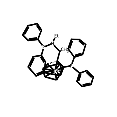 CCN([C@H](C)[C@@]12[CH]3[CH]4[CH]5[C]1(P(c1ccccc1)c1ccccc1)[Fe]45321678[CH]2[CH]1[CH]6[CH]7[CH]28)P(c1ccccc1)c1ccccc1